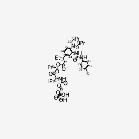 CCC(CC(=O)OC(OC(=O)C(NC(=O)OCOP(=O)(O)O)C(C)C)C(C)C)c1ccc(N(CC(C)C)CC(C)C)c(NC(=O)Nc2ccc(C)cc2)c1